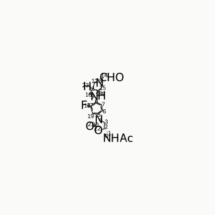 CC(=O)NC[C@H]1CN(c2ccc(N3C[C@@H]4CN(C=O)C[C@@H]43)c(F)c2)C(=O)O1